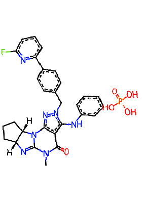 CN1C(=O)c2c(nn(Cc3ccc(-c4cccc(F)n4)cc3)c2Nc2ccccc2)N2C1=N[C@@H]1CCC[C@@H]12.O=P(O)(O)O